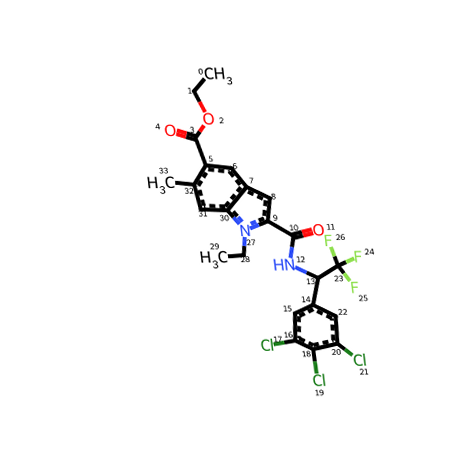 CCOC(=O)c1cc2cc(C(=O)NC(c3cc(Cl)c(Cl)c(Cl)c3)C(F)(F)F)n(CC)c2cc1C